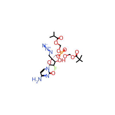 CC(C)C(=O)OCOP(=O)(OCOC(=O)C(C)(C)C)OC[C@@]1(CN=[N+]=[N-])O[C@@H](n2ccc(N)nc2=O)[C@H](F)[C@@H]1O